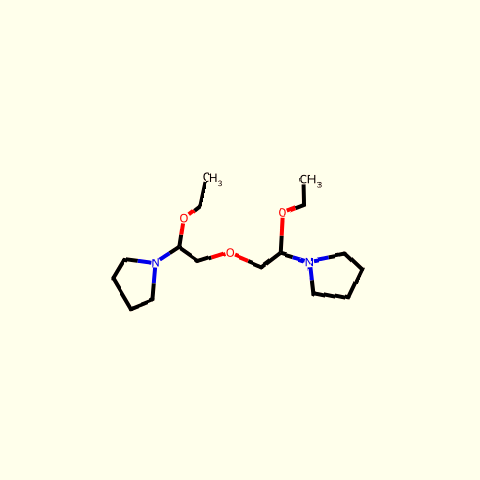 CCOC(COCC(OCC)N1CCCC1)N1CCCC1